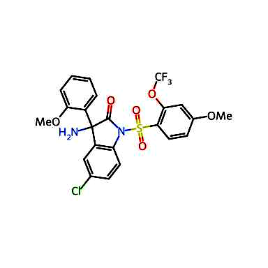 COc1ccc(S(=O)(=O)N2C(=O)C(N)(c3ccccc3OC)c3cc(Cl)ccc32)c(OC(F)(F)F)c1